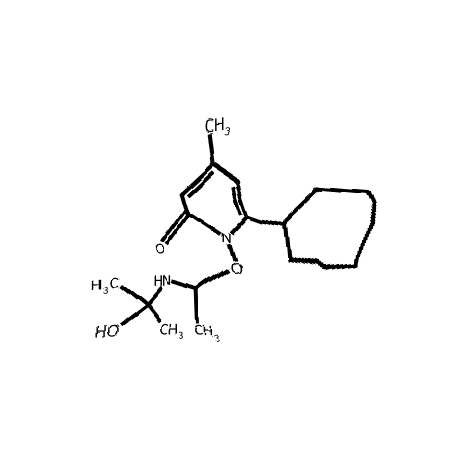 Cc1cc(C2CCCCCC2)n(OC(C)NC(C)(C)O)c(=O)c1